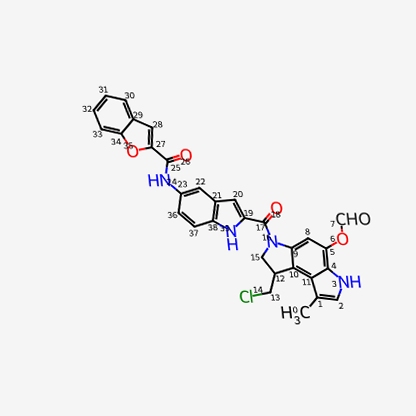 Cc1c[nH]c2c(OC=O)cc3c(c12)C(CCl)CN3C(=O)c1cc2cc(NC(=O)c3cc4ccccc4o3)ccc2[nH]1